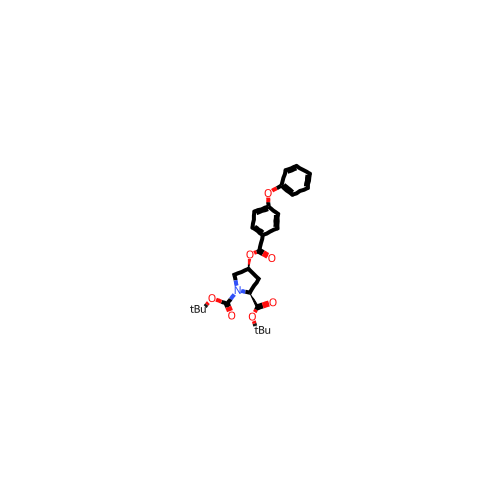 CC(C)(C)OC(=O)[C@@H]1C[C@H](OC(=O)c2ccc(Oc3ccccc3)cc2)CN1C(=O)OC(C)(C)C